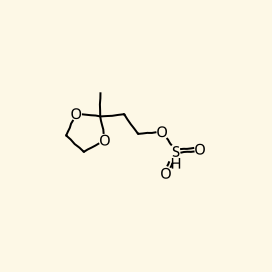 CC1(CCO[SH](=O)=O)OCCO1